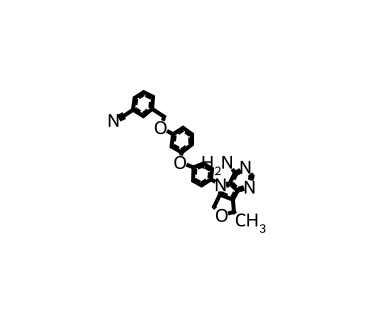 CC1OCc2c1c1ncnc(N)c1n2-c1ccc(Oc2cccc(OCc3cccc(C#N)c3)c2)cc1